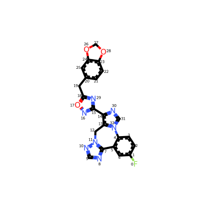 Fc1ccc2c(c1)-c1ncnn1Cc1c(-c3noc(Cc4ccc5c(c4)OCO5)n3)ncn1-2